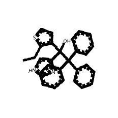 CCc1sccc1C(O)(c1c[nH]cn1)C(c1ccccc1)(c1ccccc1)c1ccccc1